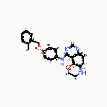 Cc1ccccc1COc1ccc(Nc2ncnc3ccc4c(c23)OCCN4)cc1